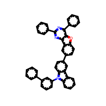 c1ccc(-c2cccc(-n3c4ccccc4c4cc(-c5ccc6oc7c(-c8ccccc8)nc(-c8ccccc8)nc7c6c5)ccc43)c2)cc1